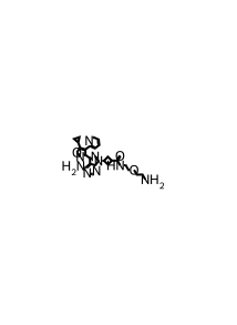 NCCOCCNC(=O)C1CC(n2nc(-c3noc(C4CC4)c3-c3ccccn3)c3c(N)ncnc32)C1